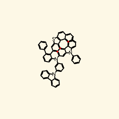 c1ccc(-c2cccc(N(c3cccc(-n4c5ccccc5c5ccccc54)c3)c3ccc4c5ccccc5n(-c5ccccc5)c4c3)c2-c2ccc3c(c2)sc2ccc4ccccc4c23)cc1